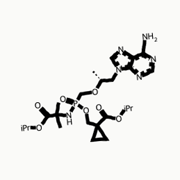 CC(C)OC(=O)C1(COP(=O)(CO[C@H](C)Cn2cnc3c(N)ncnc32)NC(C)(C)C(=O)OC(C)C)CC1